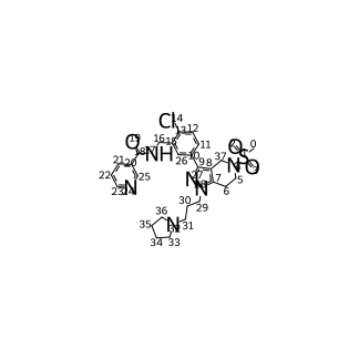 CS(=O)(=O)N1CCc2c(c(-c3ccc(Cl)c(CNC(=O)c4cccnc4)c3)nn2CCCN2CCCC2)C1